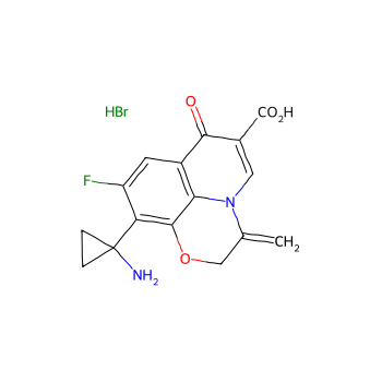 Br.C=C1COc2c(C3(N)CC3)c(F)cc3c(=O)c(C(=O)O)cn1c23